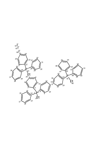 CC[P+](c1ccccc1)(c1ccccc1)c1ccccc1.CC[P+](c1ccccc1)(c1ccccc1)c1ccccc1.CC[P+](c1ccccc1)(c1ccccc1)c1ccccc1.[I-].[I-].[I-]